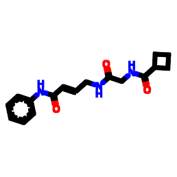 O=C(C=CCNC(=O)CNC(=O)C1CCC1)Nc1ccccc1